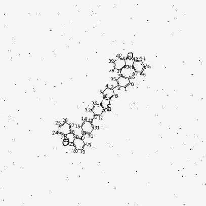 c1cc(-c2ccc3c(c2)sc2cc(-c4ccc(-c5cccc6oc7ccccc7c56)cc4)ccc23)cc(-c2cccc3oc4ccccc4c23)c1